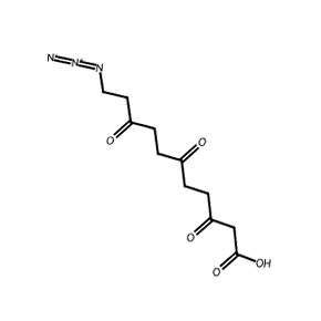 [N-]=[N+]=NCCC(=O)CCC(=O)CCC(=O)CC(=O)O